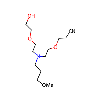 COCCCN(CCOCCO)CCOCCC#N